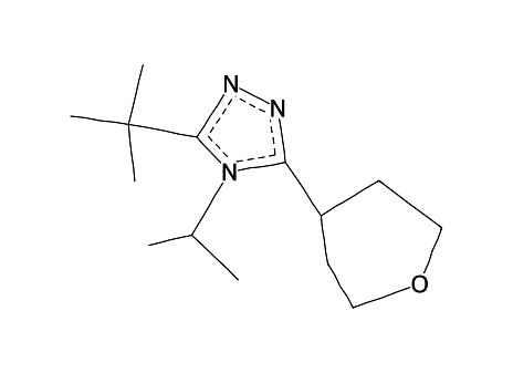 CC(C)n1c(C2CCOCC2)nnc1C(C)(C)C